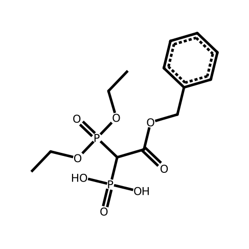 CCOP(=O)(OCC)C(C(=O)OCc1ccccc1)P(=O)(O)O